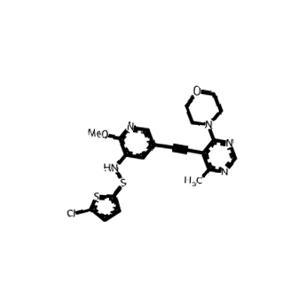 COc1ncc(C#Cc2c(C)ncnc2N2CCOCC2)cc1NSc1ccc(Cl)s1